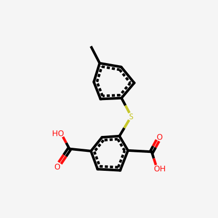 Cc1ccc(Sc2cc(C(=O)O)ccc2C(=O)O)cc1